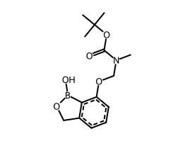 CN(COc1cccc2c1B(O)OC2)C(=O)OC(C)(C)C